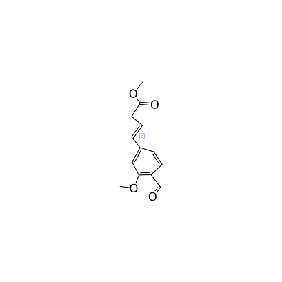 COC(=O)C/C=C/c1ccc(C=O)c(OC)c1